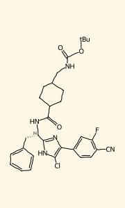 CC(C)(C)OC(=O)NCC1CCC(C(=O)N[C@@H](Cc2ccccc2)c2nc(-c3ccc(C#N)c(F)c3)c(Cl)[nH]2)CC1